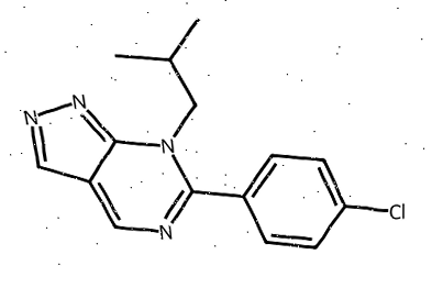 CC(C)Cn1c(-c2ccc(Cl)cc2)ncc2cnnc1-2